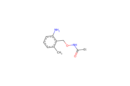 CCC(=O)NOCc1c(C)cccc1N